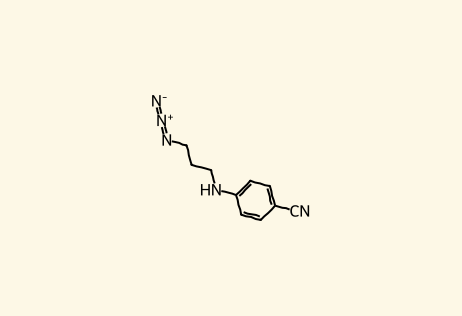 N#Cc1ccc(NCCCN=[N+]=[N-])cc1